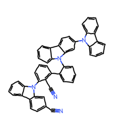 N#Cc1ccc2c3ccccc3n(-c3cccc(-c4ccccc4-n4c5ccccc5c5ccc(-n6c7ccccc7c7ccccc76)cc54)c3C#N)c2c1